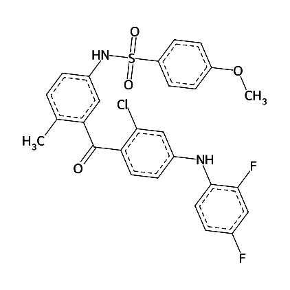 COc1ccc(S(=O)(=O)Nc2ccc(C)c(C(=O)c3ccc(Nc4ccc(F)cc4F)cc3Cl)c2)cc1